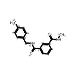 CNC(=O)c1cccc(C(=O)NCc2ccc(C)cc2)c1